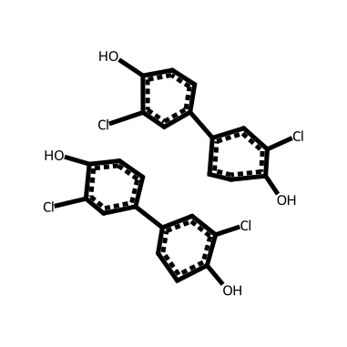 Oc1ccc(-c2ccc(O)c(Cl)c2)cc1Cl.Oc1ccc(-c2ccc(O)c(Cl)c2)cc1Cl